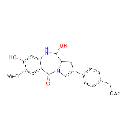 COc1cc2c(cc1O)NC(O)C1CC(c3ccc(COC(C)=O)cc3)=CN1C2=O